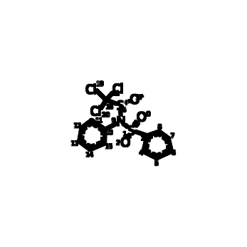 O=S(=O)(c1ccccc1)N(c1ccccc1)[S+]([O-])C(Cl)(Cl)Cl